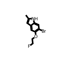 Cc1cc2cc(OCCF)c(Br)cc2[nH]1